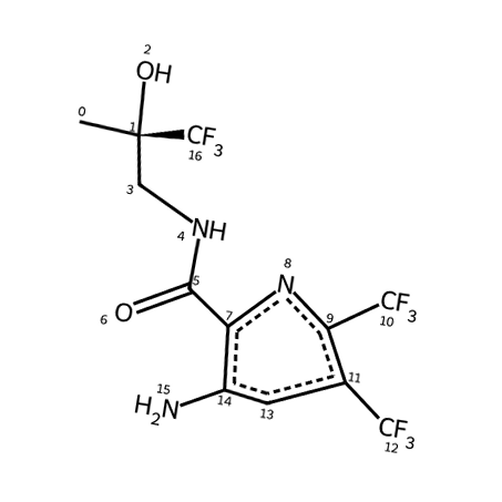 C[C@](O)(CNC(=O)c1nc(C(F)(F)F)c(C(F)(F)F)cc1N)C(F)(F)F